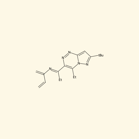 C=CC(=C)/N=C(\CC)c1nnc2cc(C(C)(C)C)nn2c1CC